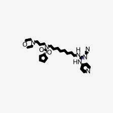 N#C/N=C(\NCCCCCCCCN(CCCN1CCOCC1)S(=O)(=O)C1CCCC1)Nc1ccncc1